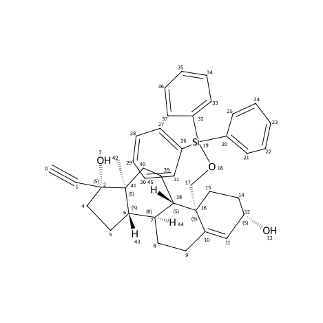 C#C[C@]1(O)CC[C@H]2[C@@H]3CCC4=C[C@@H](O)CC[C@]4(CO[Si](c4ccccc4)(c4ccccc4)c4ccccc4)[C@H]3CC[C@@]21C